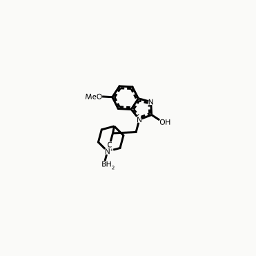 B[N+]12CCC(CC1)C(Cn1c(O)nc3ccc(OC)cc31)C2